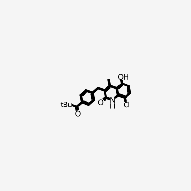 Cc1c(Cc2ccc(C(=O)C(C)(C)C)cc2)c(=O)[nH]c2c(Cl)ccc(O)c12